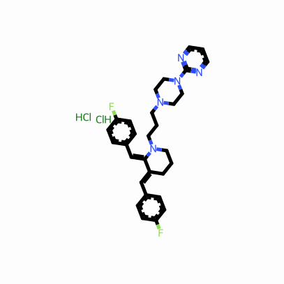 Cl.Cl.Fc1ccc(C=C2CCCN(CCCN3CCN(c4ncccn4)CC3)C2=Cc2ccc(F)cc2)cc1